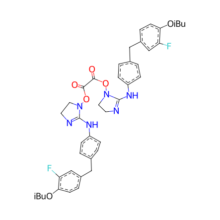 CC(C)COc1ccc(Cc2ccc(NC3=NCCN3OC(=O)C(=O)ON3CCN=C3Nc3ccc(Cc4ccc(OCC(C)C)c(F)c4)cc3)cc2)cc1F